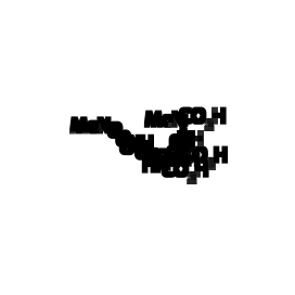 CNCCOCCOCC(=O)NCCOCCOCC(=O)N[C@@H](CCC(=O)N[C@@H](CCC(=O)NCCCC[C@H](NC)C(=O)O)C(=O)O)C(=O)O